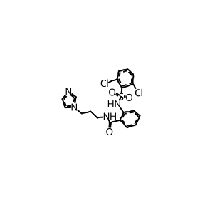 O=C(NCCCn1ccnc1)c1ccccc1NS(=O)(=O)c1c(Cl)cccc1Cl